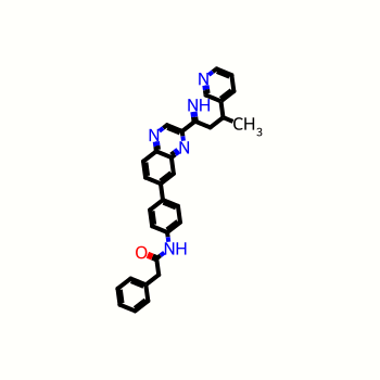 CC(CC(=N)c1cnc2ccc(-c3ccc(NC(=O)Cc4ccccc4)cc3)cc2n1)c1cccnc1